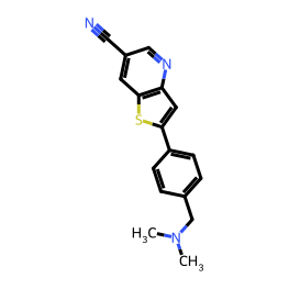 CN(C)Cc1ccc(-c2cc3ncc(C#N)cc3s2)cc1